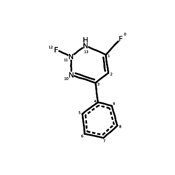 FC1=CC(c2ccccc2)=NN(F)N1